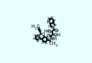 CC#CCOc1cc([C@@H](C)NC(=O)[C@H](O)[C@@H](O)C(=O)N2Cc3cccnc3C2)ccc1-n1cccn1